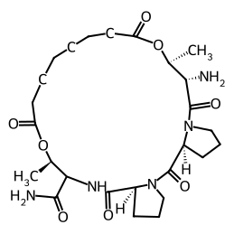 C[C@H]1OC(=O)CCCCCCC(=O)O[C@H](C)[C@H](N)C(=O)N2CCC[C@H]2C(=O)N2CCC[C@H]2C(=O)NC1C(N)=O